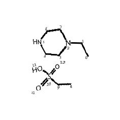 CCN1CCNCC1.CCS(=O)(=O)O